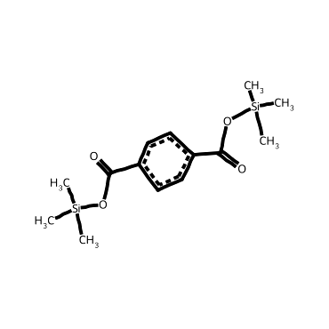 C[Si](C)(C)OC(=O)c1ccc(C(=O)O[Si](C)(C)C)cc1